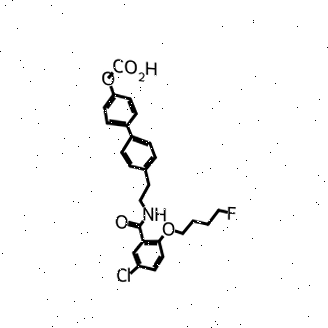 O=C(O)Oc1ccc(-c2ccc(CCNC(=O)c3cc(Cl)ccc3OCCCCF)cc2)cc1